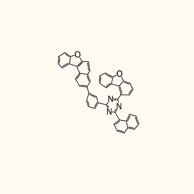 c1cc(-c2ccc3c(ccc4oc5ccccc5c43)c2)cc(-c2nc(-c3cccc4ccccc34)nc(-c3cccc4oc5ccccc5c34)n2)c1